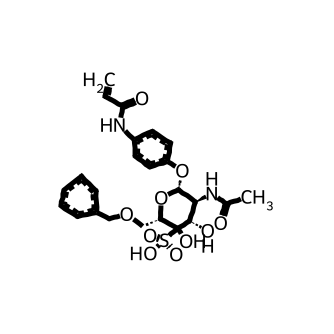 C=CC(=O)Nc1ccc(O[C@H]2O[C@@H](COCc3ccccc3)C(O)(S(=O)(=O)O)[C@@H](O)[C@@H]2NC(C)=O)cc1